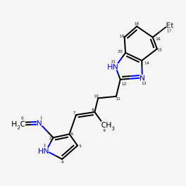 C=Nc1[nH]ccc1/C=C(\C)CCc1nc2cc(CC)ccc2[nH]1